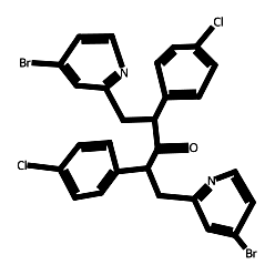 O=C(C(Cc1cc(Br)ccn1)c1ccc(Cl)cc1)C(Cc1cc(Br)ccn1)c1ccc(Cl)cc1